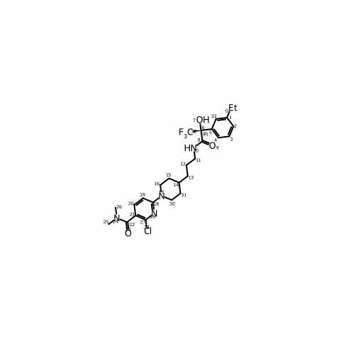 CCc1cccc([C@@](O)(C(=O)NCCCC2CCN(c3ccc(C(=O)N(C)C)c(Cl)n3)CC2)C(F)(F)F)c1